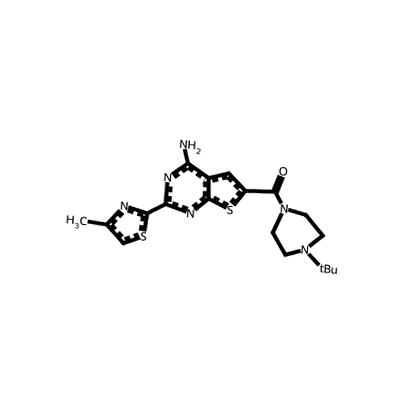 Cc1csc(-c2nc(N)c3cc(C(=O)N4CCN(C(C)(C)C)CC4)sc3n2)n1